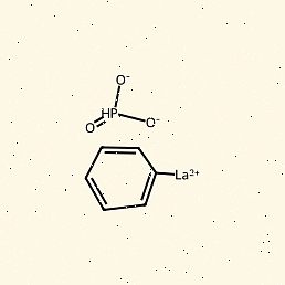 O=[PH]([O-])[O-].[La+2][c]1ccccc1